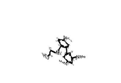 CNc1cc(NC)cc(-c2cc(N)ccc2NCCO)c1